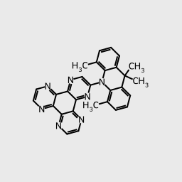 Cc1cccc2c1N(c1cnc3c4nccnc4c4nccnc4c3n1)c1c(C)cccc1C2(C)C